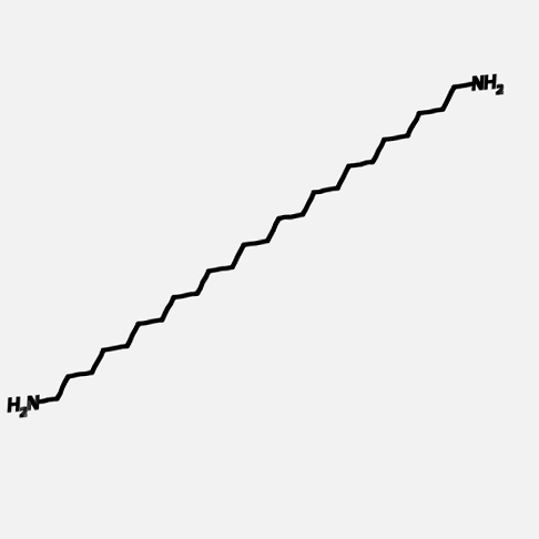 NCCCCCCCCCCCCCCCCCCCCCCCCN